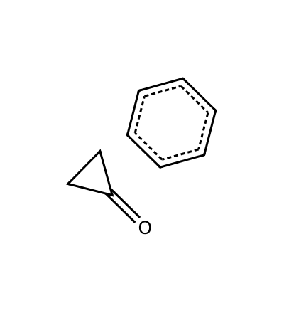 O=C1CC1.c1ccccc1